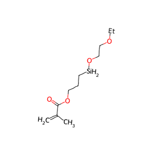 C=C(C)C(=O)OCCC[SiH2]OCCOCC